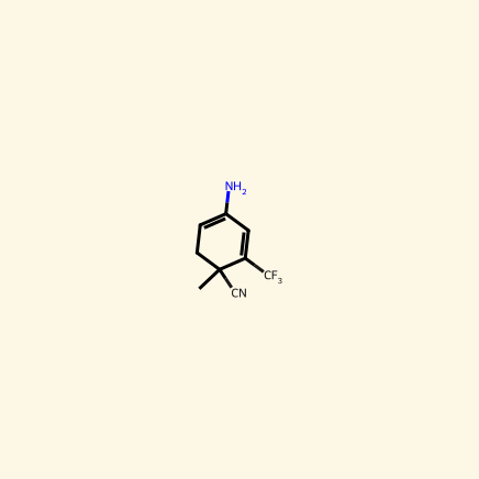 CC1(C#N)CC=C(N)C=C1C(F)(F)F